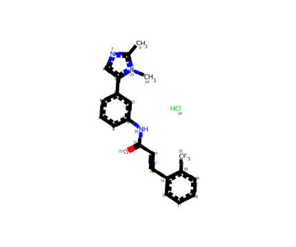 Cc1ncc(-c2cccc(NC(=O)/C=C/c3ccccc3C(F)(F)F)c2)n1C.Cl